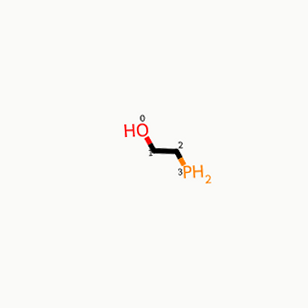 OCCP